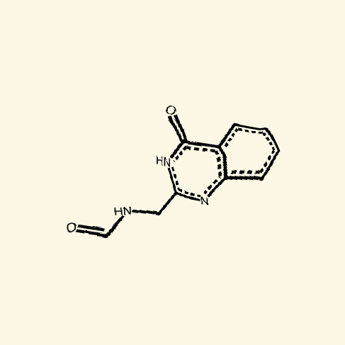 O=CNCc1nc2ccccc2c(=O)[nH]1